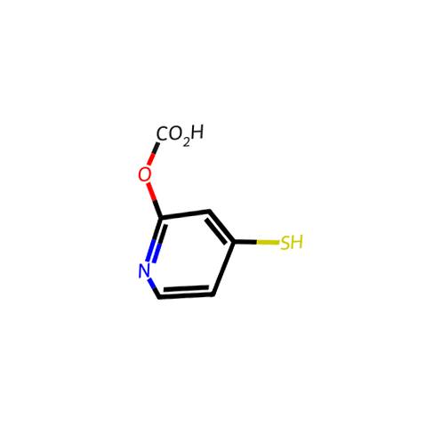 O=C(O)Oc1cc(S)ccn1